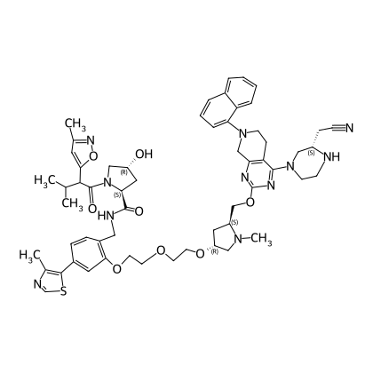 Cc1cc(C(C(=O)N2C[C@H](O)C[C@H]2C(=O)NCc2ccc(-c3scnc3C)cc2OCCOCCO[C@@H]2C[C@@H](COc3nc4c(c(N5CCN[C@@H](CC#N)C5)n3)CCN(c3cccc5ccccc35)C4)N(C)C2)C(C)C)on1